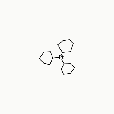 C1CC[CH]([Pt]([CH]2CCCCC2)[CH]2CCCCC2)CC1